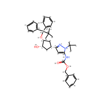 CC(C)(C)n1nc([C@@H]2C[C@H](O)[C@H](O[Si](c3ccccc3)(c3ccccc3)C(C)(C)C)C2)cc1NC(=O)OCc1ccccc1